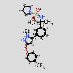 CCn1nc(Oc2ccc(C(F)(F)F)cc2)cc1-c1cccc(C(C)(C)NS(=O)(=O)N2CCCC2)c1